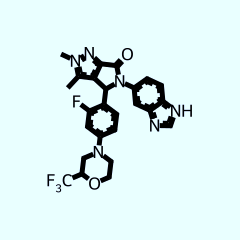 Cc1c2c(nn1C)C(=O)N(c1ccc3[nH]cnc3c1)C2c1ccc(N2CCOC(C(F)(F)F)C2)cc1F